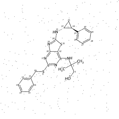 CC(C)(CO)Nc1nc(SCc2ccccc2)nc2nc(N[C@@H]3C[C@H]3c3ccccc3)sc12